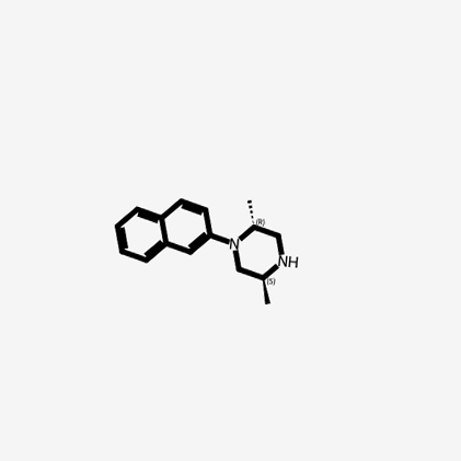 C[C@@H]1CN[C@@H](C)CN1c1ccc2ccccc2c1